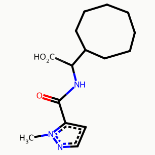 Cn1nccc1C(=O)NC(C(=O)O)C1CCCCCCC1